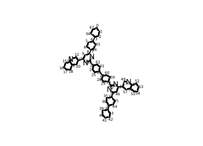 c1ccc(-c2ccc(-c3cc(-c4cnc5ccccc5c4)nc(-c4ccc(-c5ccc(-c6nc(-c7ccc(-c8ccccc8)cc7)cc(-c7cnc8ccccc8c7)n6)cc5)cc4)n3)cc2)cc1